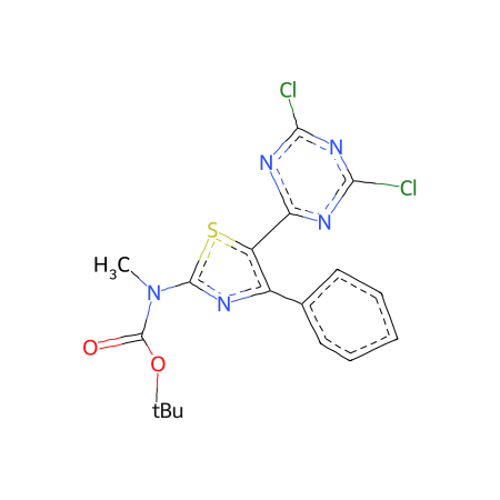 CN(C(=O)OC(C)(C)C)c1nc(-c2ccccc2)c(-c2nc(Cl)nc(Cl)n2)s1